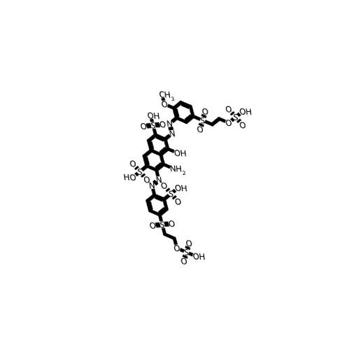 COc1ccc(S(=O)(=O)CCOS(=O)(=O)O)cc1/N=N/c1c(S(=O)(=O)O)cc2cc(S(=O)(=O)O)c(/N=N/c3ccc(S(=O)(=O)CCOS(=O)(=O)O)cc3S(=O)(=O)O)c(N)c2c1O